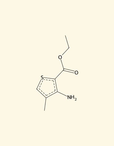 CCOC(=O)c1scc(C)c1N